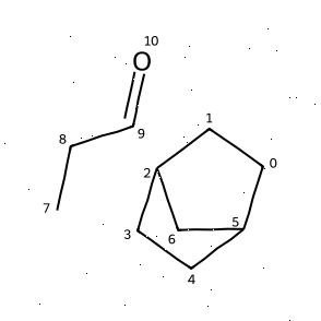 C1CC2CCC1C2.CCC=O